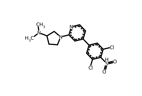 CN(C)C1CCN(c2cc(-c3cc(Cl)c([SH](=O)=O)c(Cl)c3)ccn2)C1